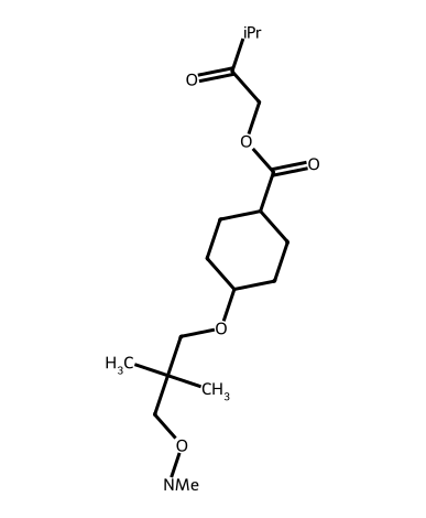 CNOCC(C)(C)COC1CCC(C(=O)OCC(=O)C(C)C)CC1